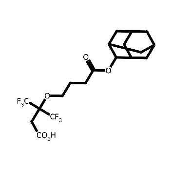 O=C(O)CC(OCCCC(=O)OC1C2CC3CC(C2)CC1C3)(C(F)(F)F)C(F)(F)F